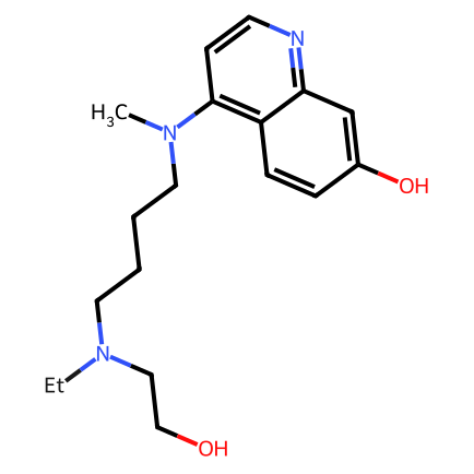 CCN(CCO)CCCCN(C)c1ccnc2cc(O)ccc12